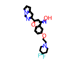 ON=c1cc(-c2cc3cccn3cn2)oc2ccc(OCCN3CCC(F)(F)CC3)cc12